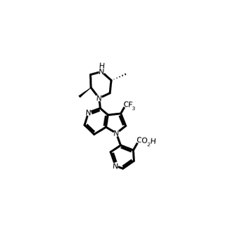 C[C@@H]1CN(c2nccc3c2c(C(F)(F)F)cn3-c2cnccc2C(=O)O)[C@@H](C)CN1